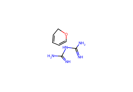 C1=CCOC=C1.N=C(N)NC(=N)N